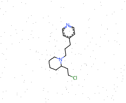 ClCCC1CCCCN1CCCc1ccncc1